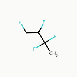 CC(F)(F)C(F)CF